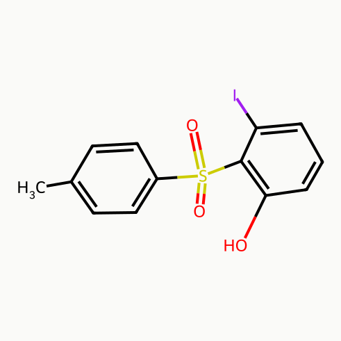 Cc1ccc(S(=O)(=O)c2c(O)cccc2I)cc1